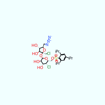 CC(C)c1cc(C(C)C)c(S(=O)(=O)OC[C@H]2O[C@H](O[C@]3(CCl)O[C@H](CN=[N+]=[N-])[C@@H](O)[C@@H]3O)[C@H](O)[C@@H](O)[C@H]2Cl)c(C(C)C)c1